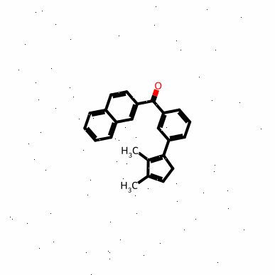 CC1=CCC(c2cccc(C(=O)c3ccc4ccccc4c3)c2)=C1C